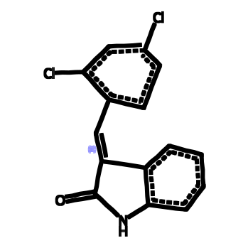 O=C1Nc2ccccc2/C1=C\c1ccc(Cl)cc1Cl